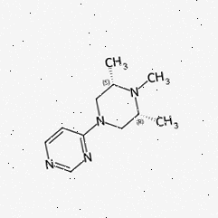 C[C@@H]1CN(c2ccncn2)C[C@H](C)N1C